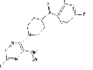 CC(C)Nc1nc(C#N)cnc1N1CCC([C@@H](F)c2ccc(F)cc2F)CC1